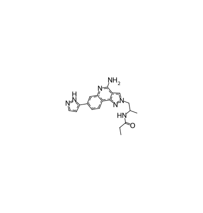 CCC(=O)NC(C)Cn1cc2c(N)nc3cc(-c4ccn[nH]4)ccc3c2n1